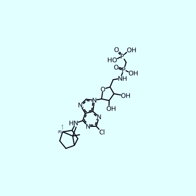 CC1(C)C2CC[C@@]1(C)C(Nc1nc(Cl)nc3c1ncn3C1OC(CNP(=O)(O)CP(=O)(O)O)C(O)C1O)C2